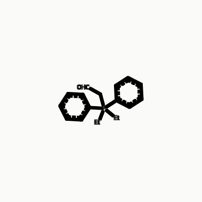 CCP(CC)(CC=O)(c1ccccc1)c1ccccc1